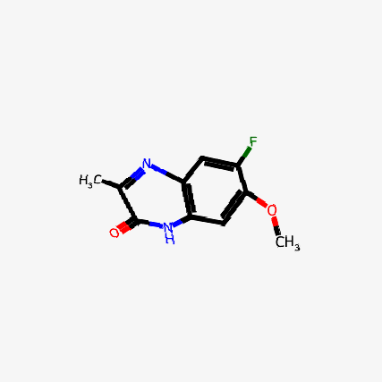 COc1cc2[nH]c(=O)c(C)nc2cc1F